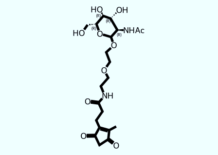 CC(=O)N[C@H]1C(OCCOCCNC(=O)CCC2=C(C)C(=O)CC2=O)O[C@H](CO)[C@H](O)[C@@H]1O